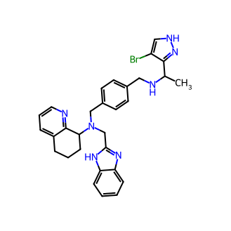 CC(NCc1ccc(CN(Cc2nc3ccccc3[nH]2)C2CCCc3cccnc32)cc1)c1n[nH]cc1Br